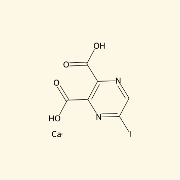 O=C(O)c1ncc(I)nc1C(=O)O.[Ca]